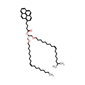 CCCCCCCC/C=C\CCCCCCCCOC[C@@H](COCCCCCCCC/C=C\CCCCCC(C)C)OC(=O)CCCc1ccc2ccc3cccc4ccc1c2c34